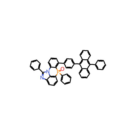 O=P1(c2ccccc2)c2c(-c3ccc(-c4c5ccccc5c(-c5ccccc5)c5ccccc45)cc3)cccc2-n2c(-c3ccccc3)nc3cccc1c32